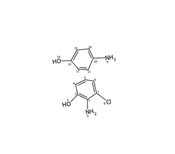 Nc1c(O)cccc1Cl.Nc1ccc(O)cc1